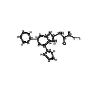 CCNC(=O)Nc1nc2cc(-c3cccnc3)cc(-n3cncn3)c2[nH]1